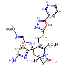 CON=CC(=O)NC1(c2csc(N)n2)S[C@H]2CC(=O)N2C(C(=O)O)=C1CSc1nnc(-c2cccnc2)o1